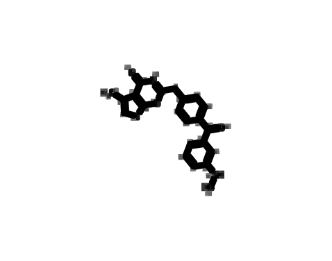 Cc1csc2oc(Cc3ccc(C(=O)c4cccc(NO)c4)cc3)nc(=O)c12